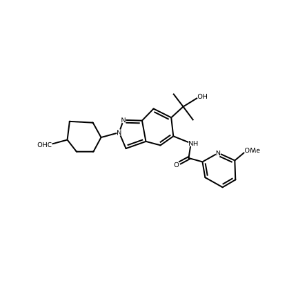 COc1cccc(C(=O)Nc2cc3cn(C4CCC(C=O)CC4)nc3cc2C(C)(C)O)n1